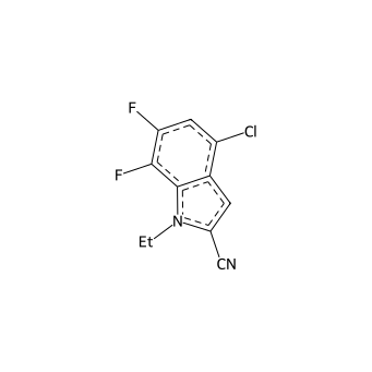 [CH2]Cn1c(C#N)cc2c(Cl)cc(F)c(F)c21